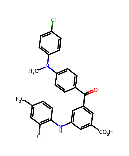 CN(c1ccc(Cl)cc1)c1ccc(C(=O)c2cc(Nc3ccc(C(F)(F)F)cc3Cl)cc(C(=O)O)c2)cc1